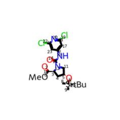 COC(=O)[C@@H]1C[C@@H](O[Si](C)(C)C(C)(C)C)CN1C(=O)Nc1cc(Cl)nc(Cl)c1